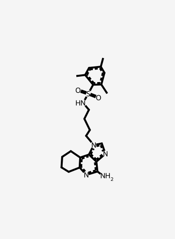 Cc1cc(C)c(S(=O)(=O)NCCCCn2cnc3c(N)nc4c(c32)CCCC4)c(C)c1